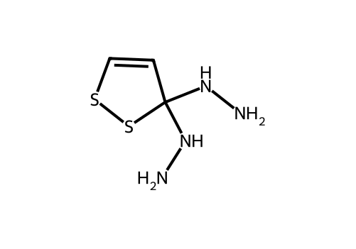 NNC1(NN)C=CSS1